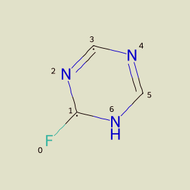 F[C]1N=[C]N=CN1